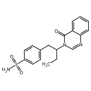 CCC(Cc1ccc(S(N)(=O)=O)cc1)n1cnc2ccccc2c1=O